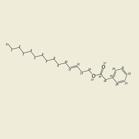 CCCCCCCCCCCC=CCCOC(=O)Cc1ccccc1